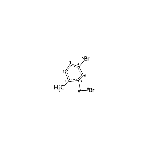 Cc1ccc(Br)cc1CBr